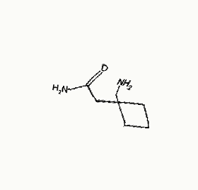 NC(=O)CC1(N)CCC1